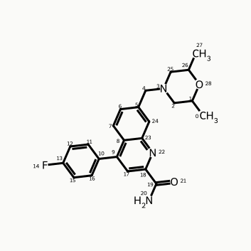 CC1CN(Cc2ccc3c(-c4ccc(F)cc4)cc(C(N)=O)nc3c2)CC(C)O1